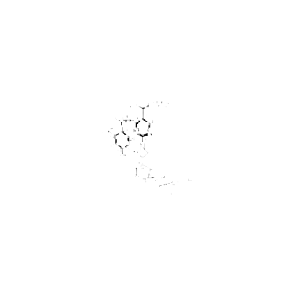 COC(C)c1cnc(N2CC([C@H]3CCCN(C4CC(C)(C(=O)O)C4)C3)C2)nc1NC(C)c1ccc(Cl)cc1Cl